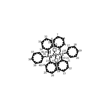 [Cl][Ni]([Cl])([AsH](c1ccccc1)(c1ccccc1)c1ccccc1)[AsH](c1ccccc1)(c1ccccc1)c1ccccc1